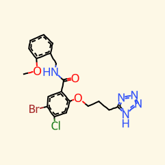 COc1ccccc1CNC(=O)c1cc(Br)c(Cl)cc1OCCCc1nnn[nH]1